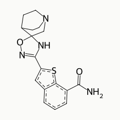 NC(=O)c1cccc2cc(C3=NOC4(CN5CCC4CC5)N3)sc12